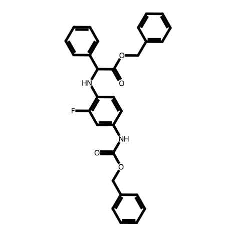 O=C(Nc1ccc(NC(C(=O)OCc2ccccc2)c2ccccc2)c(F)c1)OCc1ccccc1